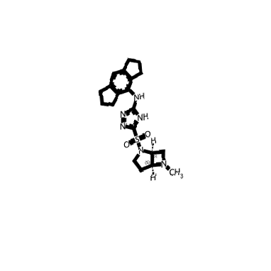 CN1C[C@H]2[C@@H]1CCN2S(=O)(=O)c1nnc(Nc2c3c(cc4c2CCC4)CCC3)[nH]1